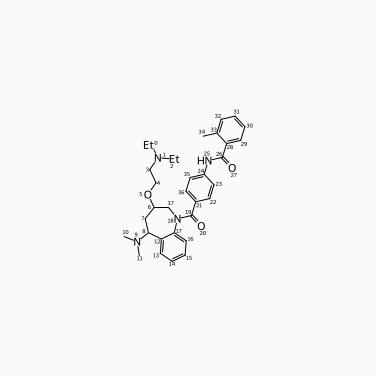 CCN(CC)CCOC1CC(N(C)C)c2ccccc2N(C(=O)c2ccc(NC(=O)c3ccccc3C)cc2)C1